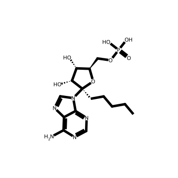 CCCCC[C@@]1(n2cnc3c(N)ncnc32)O[C@H](COP(=O)(O)O)[C@@H](O)[C@H]1O